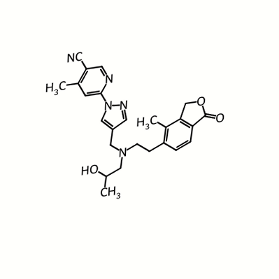 Cc1cc(-n2cc(CN(CCc3ccc4c(c3C)COC4=O)CC(C)O)cn2)ncc1C#N